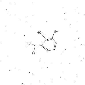 CC(C)c1cccc(C(Cl)C(F)(F)F)c1O